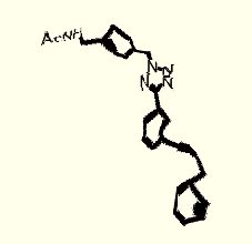 CC(=O)NCc1ccc(Cn2nnc(-c3cccc(C#CCc4ccccc4)c3)n2)cc1